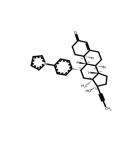 CC#C[C@]1(O)CC[C@H]2[C@@H]3CCC4=CC(=O)CC[C@@H]4[C@H]3[C@@H](c3ccc(-n4cccc4)cc3)C[C@@]21C